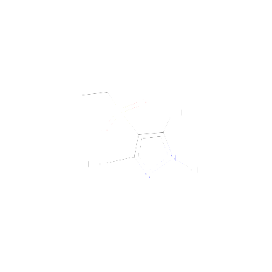 CCS(=O)(=O)c1c(C)nn(C)c1C